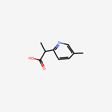 Cc1ccc(C(C)C(=O)O)nc1